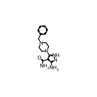 NC(=O)c1c(N)n[nH]c1N1CCN(Cc2ccccc2)CC1